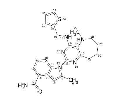 Cc1cc2c(C(N)=O)cccc2n1-c1nc2c(c(NCc3cccs3)n1)N(C)CCCC2